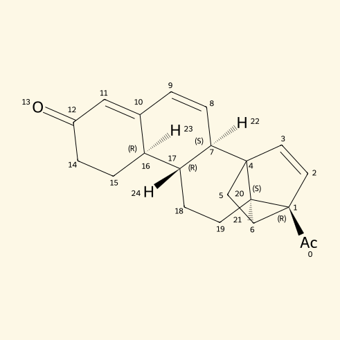 CC(=O)[C@@]12C=CC3(CC1)[C@@H]1C=CC4=CC(=O)CC[C@@H]4[C@H]1CC[C@@]32C